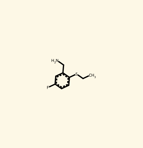 CCSc1ccc(F)cc1CN